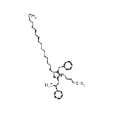 CCCCCCCCCCCCCCCCn1cc(CC(C)c2ccccc2)[n+](CCCCC)c1Cc1ccccc1